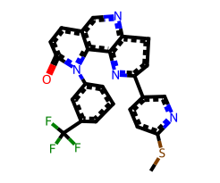 CSc1ccc(-c2ccc3ncc4ccc(=O)n(-c5cccc(C(F)(F)F)c5)c4c3n2)cn1